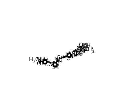 CNC(=O)c1ccc(COc2cccc(-c3csc(C#Cc4ccc(N5CCN(S(=O)(=O)N[C@@H](C(=O)O)C(C)C)CC5)cc4)n3)c2)cc1